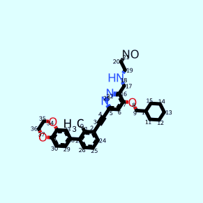 Cc1c(C#Cc2cc(OCC3CCCCC3)c(CNCCN=O)nn2)cccc1-c1ccc2c(c1)OCCO2